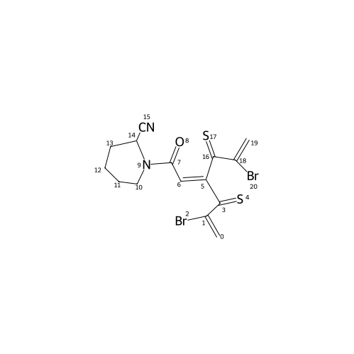 C=C(Br)C(=S)C(=CC(=O)N1CCCCC1C#N)C(=S)C(=C)Br